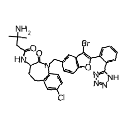 CC(C)(N)CC(=O)NC1CCc2cc(Cl)ccc2N(Cc2ccc3oc(-c4ccccc4-c4nnn[nH]4)c(Br)c3c2)C1=O